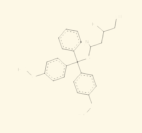 CCC(O)CC(N)OC(c1ccccc1)(c1ccc(OC)cc1)c1ccc(OC)cc1